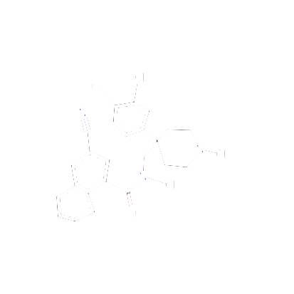 CN1CCC(CN(C)C(=O)c2cc(C#N)cc3ccccc23)(c2ccc(Cl)c(Cl)c2)CC1